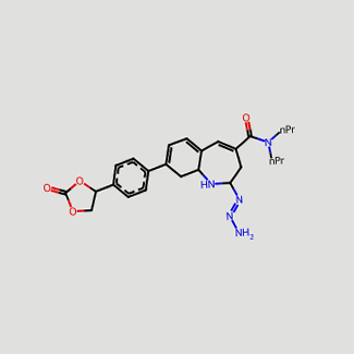 CCCN(CCC)C(=O)C1=CC2=CC=C(c3ccc(C4COC(=O)O4)cc3)CC2NC(N=NN)C1